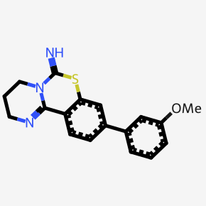 COc1cccc(-c2ccc3c(c2)SC(=N)N2CCCN=C32)c1